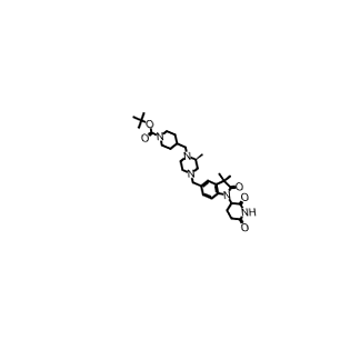 C[C@H]1CN(Cc2ccc3c(c2)C(C)(C)C(=O)N3C2CCC(=O)NC2=O)CCN1CC1CCN(C(=O)OC(C)(C)C)CC1